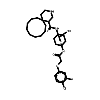 O=C(COc1ccc(Cl)c(F)c1)NC12CCC(NC(=O)C3CNCCC34CCCCCCCCC4)(CC1)C(O)C2